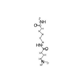 CNC(=O)CCCCCNC(=O)CCCN(C)C